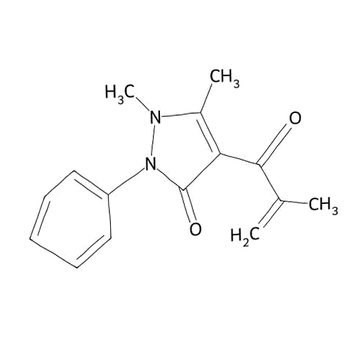 C=C(C)C(=O)c1c(C)n(C)n(-c2ccccc2)c1=O